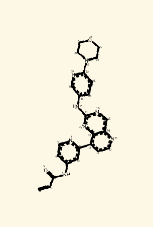 C=CC(=O)Nc1ccnc(-c2ccnc3cnc(Nc4ccc(N5CCOCC5)nc4)nc23)c1